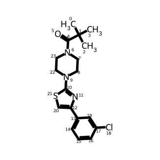 CC(C)(C)C(=O)N1CCN(c2nc(-c3cccc(Cl)c3)cs2)CC1